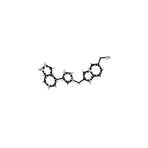 OCc1ccc2nc(Cn3cc(-c4cncc5[nH]ncc45)nn3)cn2c1